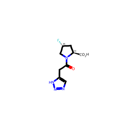 O=C(O)[C@@H]1C[C@@H](F)CN1C(=O)Cc1cnn[nH]1